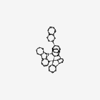 c1ccc2c(c1)-c1cccc(-c3ccc(-c4ccc5ccccc5c4)cc3)c1C21c2ccccc2-n2c3ccccc3c3cccc1c32